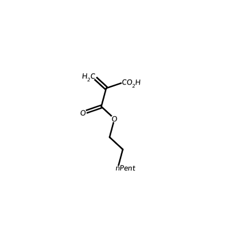 C=C(C(=O)O)C(=O)OCCCCCCC